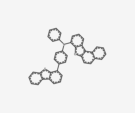 c1ccc(N(c2ccc(-c3cccc4c3sc3ccccc34)cc2)c2cccc3c2oc2ccc4ccccc4c23)cc1